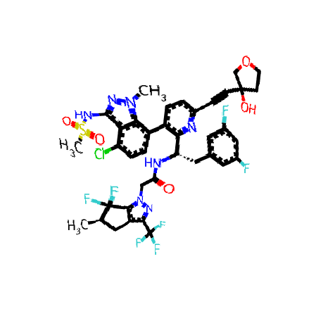 C[C@@H]1Cc2c(C(F)(F)F)nn(CC(=O)N[C@@H](Cc3cc(F)cc(F)c3)c3nc(C#CC4(O)CCOC4)ccc3-c3ccc(Cl)c4c(NS(C)(=O)=O)nn(C)c34)c2C1(F)F